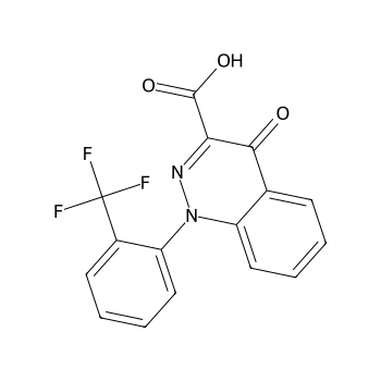 O=C(O)c1nn(-c2ccccc2C(F)(F)F)c2ccccc2c1=O